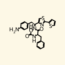 Nc1ccc(C[C@H](NC(=O)C(Cc2ccccc2)NC(=O)O)c2csc(-c3cccs3)n2)cc1